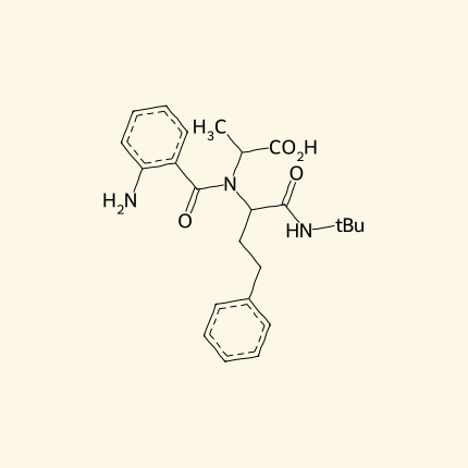 CC(C(=O)O)N(C(=O)c1ccccc1N)C(CCc1ccccc1)C(=O)NC(C)(C)C